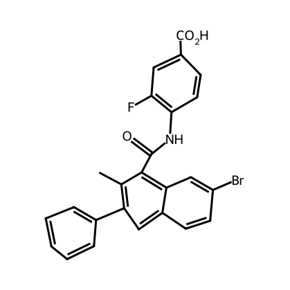 Cc1c(-c2ccccc2)cc2ccc(Br)cc2c1C(=O)Nc1ccc(C(=O)O)cc1F